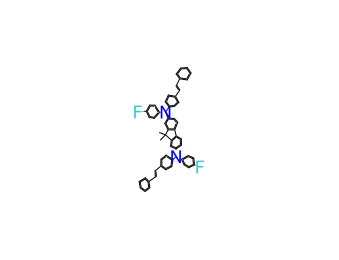 CC1(C)c2cc(N(c3ccc(F)cc3)c3ccc(/C=C/c4ccccc4)cc3)ccc2-c2ccc(N(c3ccc(F)cc3)c3ccc(/C=C/c4ccccc4)cc3)cc21